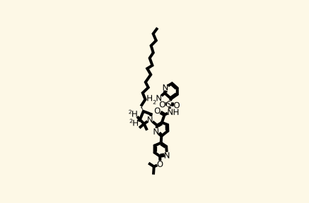 [2H]C1([2H])[C@H](CCCCCCCCCCCCCC)CN(c2nc(-c3ccc(OC(C)C)nc3)ccc2C(=O)NS(=O)(=O)c2cccnc2N)C1(C)C